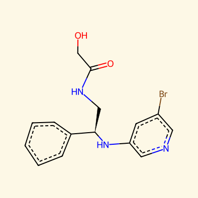 O=C(CO)NC[C@@H](Nc1cncc(Br)c1)c1ccccc1